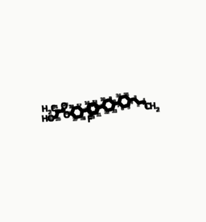 C=CCCC1CCC(C2CCC(c3ccc(C4CCC(OC(=O)C(=C)CO)CC4)c(F)c3)CC2)CC1